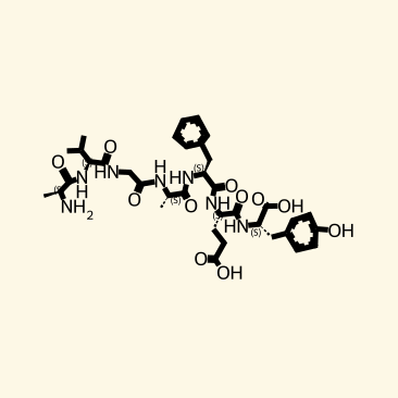 CC(C)[C@H](NC(=O)[C@H](C)N)C(=O)NCC(=O)N[C@@H](C)C(=O)N[C@@H](Cc1ccccc1)C(=O)N[C@@H](CCC(=O)O)C(=O)N[C@@H](Cc1ccc(O)cc1)C(=O)O